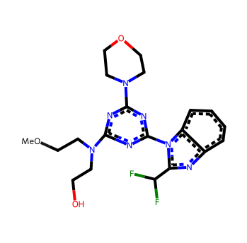 COCCN(CCO)c1nc(N2CCOCC2)nc(-n2c(C(F)F)nc3ccccc32)n1